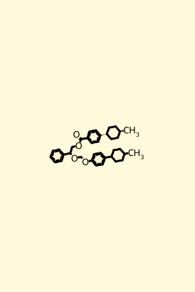 CC1CCC(c2ccc(OCOC(COC(=O)c3ccc([C@H]4CC[C@H](C)CC4)cc3)c3ccccc3)cc2)CC1